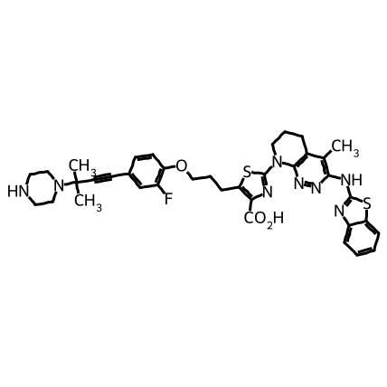 Cc1c(Nc2nc3ccccc3s2)nnc2c1CCCN2c1nc(C(=O)O)c(CCCOc2ccc(C#CC(C)(C)N3CCNCC3)cc2F)s1